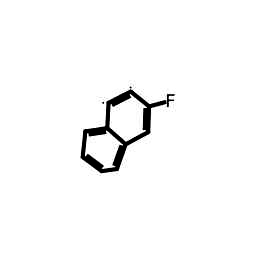 Fc1[c][c]c2ccccc2c1